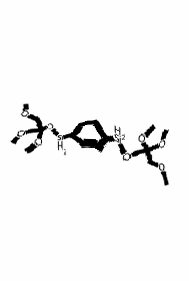 COCC(OC)(OC)O[SiH2]c1ccc([SiH2]OC(COC)(OC)OC)cc1